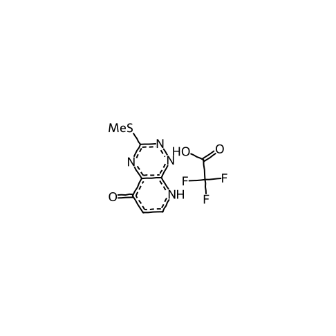 CSc1nnc2[nH]ccc(=O)c2n1.O=C(O)C(F)(F)F